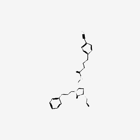 C=CC[C@@H]1C[C@@H](CNC(=O)CCCc2ccc(C#N)cc2)N(CCCc2ccccc2)C1=O